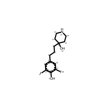 Oc1c(F)cc(CCCC2(O)CCNCC2)cc1F